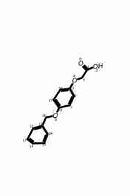 O=C(O)COc1ccc(OCc2ccccc2)cc1